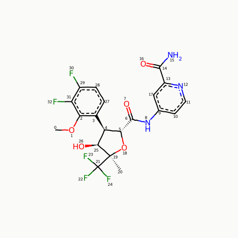 COc1c([C@H]2[C@H](C(=O)Nc3ccnc(C(N)=O)c3)O[C@@](C)(C(F)(F)F)[C@H]2O)ccc(F)c1F